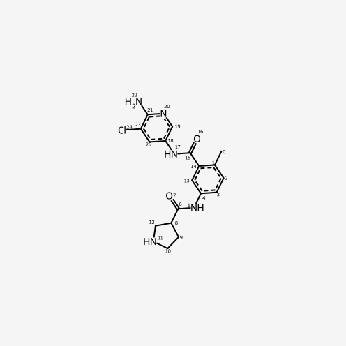 Cc1ccc(NC(=O)C2CCNC2)cc1C(=O)Nc1cnc(N)c(Cl)c1